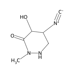 [C-]#[N+]C1CNN(C)C(=O)C1O